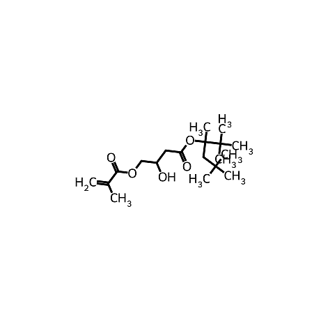 C=C(C)C(=O)OCC(O)CC(=O)OC(C)(CC(C)(C)C)C(C)(C)C